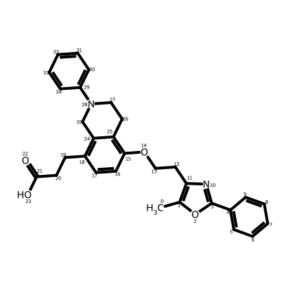 Cc1oc(-c2ccccc2)nc1CCOc1ccc(CCC(=O)O)c2c1CCN(c1ccccc1)C2